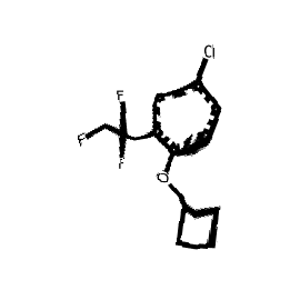 FC(F)(F)c1cc(Cl)ccc1OC1CCC1